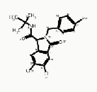 CC(C)(C)NC(=O)C1c2cc(Cl)c(Cl)cc2C(=O)N1Cc1ccc(F)cc1